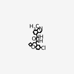 Cc1nccc2c(NC(=O)NC3CC4(CCC4)Oc4ccc(Cl)cc43)cccc12